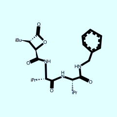 CC[C@H](C)[C@@H]1C(=O)O[C@H]1C(=O)N[C@H](C(=O)N[C@H](C(=O)NCc1ccccc1)C(C)C)C(C)C